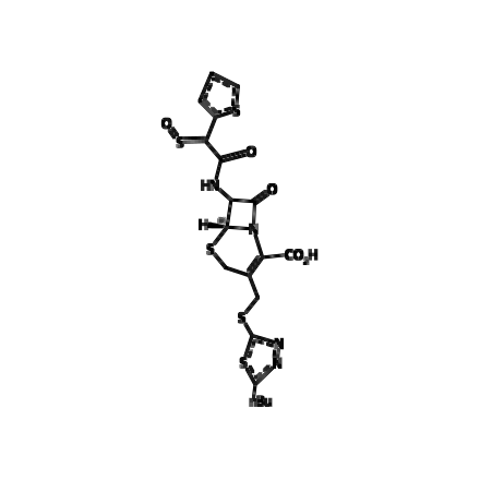 CCCCc1nnc(SCC2=C(C(=O)O)N3C(=O)C(NC(=O)C(=S=O)c4cccs4)[C@H]3SC2)s1